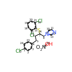 Clc1ccc(CCC(Cn2ccnc2)Sc2c(Cl)cccc2Cl)cc1.O=[N+]([O-])O